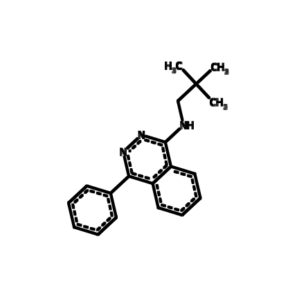 CC(C)(C)CNc1nnc(-c2ccccc2)c2ccccc12